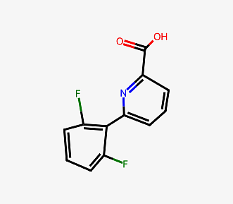 O=C(O)c1cccc(-c2c(F)cccc2F)n1